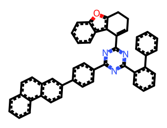 C1=C(c2nc(-c3ccc(-c4ccc5c(ccc6ccccc65)c4)cc3)nc(-c3ccccc3-c3ccccc3)n2)c2c(oc3ccccc23)CC1